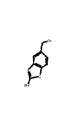 CC(C)(C)Cc1ccc2oc(C(C)(C)C)nc2c1